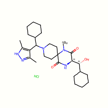 CCCCN1C(=O)[C@@H]([C@H](O)C2CCCCC2)NC(=O)C12CCN(C(c1c(C)n[nH]c1C)C1CCCCC1)CC2.Cl